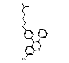 CN(C)CCCCOc1ccc(C2c3ccc(O)cc3OCC2c2ccccc2)cc1